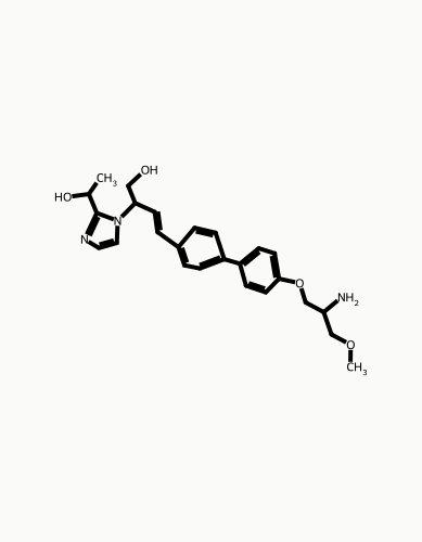 COCC(N)COc1ccc(-c2ccc(/C=C/C(CO)n3ccnc3C(C)O)cc2)cc1